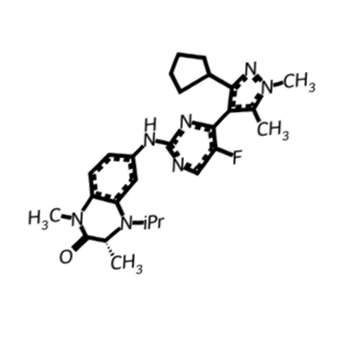 Cc1c(-c2nc(Nc3ccc4c(c3)N(C(C)C)[C@H](C)C(=O)N4C)ncc2F)c(C2CCCC2)nn1C